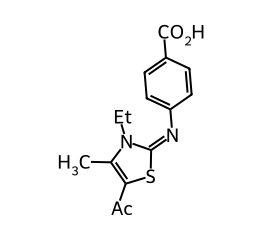 CCn1c(C)c(C(C)=O)sc1=Nc1ccc(C(=O)O)cc1